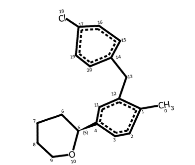 Cc1ccc([C@@H]2CCCCO2)cc1Cc1ccc(Cl)cc1